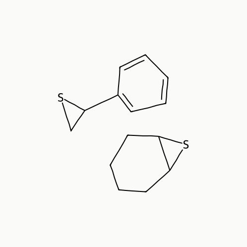 C1CCC2SC2C1.c1ccc(C2CS2)cc1